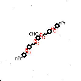 CCCc1ccc(C(=O)OC2CCC(CCC(=O)Oc3ccc(OC(=O)CCC4CCC(OC(=O)c5ccc(CCC)cc5)CC4)c(C=O)c3)CC2)cc1